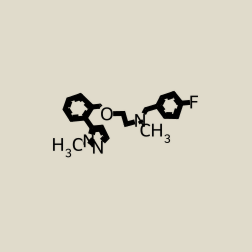 CN(CCOCc1ccccc1-c1ccnn1C)Cc1ccc(F)cc1